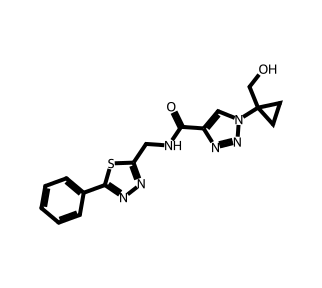 O=C(NCc1nnc(-c2ccccc2)s1)c1cn(C2(CO)CC2)nn1